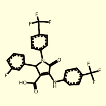 O=C(O)C1=C(Nc2ccc(C(F)(F)F)cc2)C(=O)N(c2ccc(C(F)(F)F)cc2)C1c1cccc(F)c1